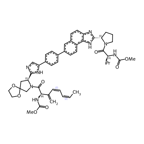 C=C(/C=C\C=C/C)[C@@H](NC(=O)OC)C(=O)N1CC2(C[C@H]1c1ncc(-c3ccc(-c4ccc5c(ccc6nc([C@@H]7CCCN7C(=O)[C@@H](NC(=O)OC)C(C)C)[nH]c65)c4)cc3)[nH]1)OCCO2